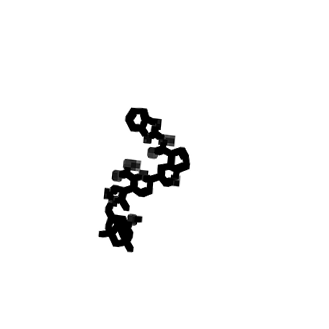 COC12CC3(C)CC(C)(CC(Cn4ncc(-c5ccc(-c6cnc7cccc(C(=O)Nc8nc9ccccc9s8)c7c6)nc5C(=O)O)c4C)(C3)C1)C2